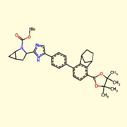 CC(C)(C)OC(=O)N1C(c2ncc(-c3ccc(-c4ccc(B5OC(C)(C)C(C)(C)O5)c5c4C4CCC5C4)cc3)[nH]2)CC2CC21